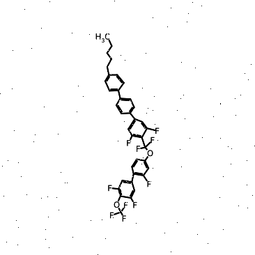 CCCCCc1ccc(-c2ccc(-c3cc(F)c(C(F)(F)Oc4ccc(-c5cc(F)c(OC(F)(F)F)c(F)c5)c(F)c4)c(F)c3)cc2)cc1